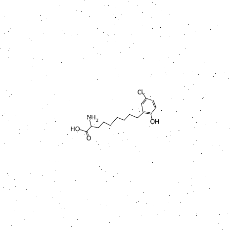 NC(CCCCCCCc1cc(Cl)ccc1O)C(=O)O